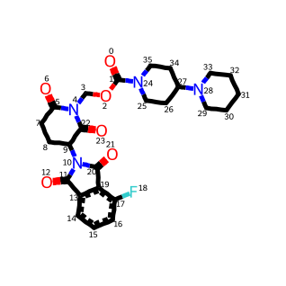 O=C(OCN1C(=O)CCC(N2C(=O)c3cccc(F)c3C2=O)C1=O)N1CCC(N2CCCCC2)CC1